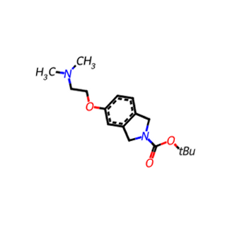 CN(C)CCOc1ccc2c(c1)CN(C(=O)OC(C)(C)C)C2